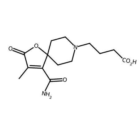 CC1=C(C(N)=O)C2(CCN(CCCC(=O)O)CC2)OC1=O